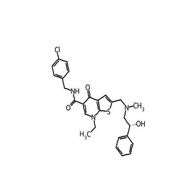 CCn1cc(C(=O)NCc2ccc(Cl)cc2)c(=O)c2cc(CN(C)C[C@H](O)c3ccccc3)sc21